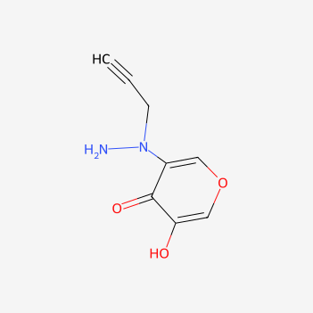 C#CCN(N)c1cocc(O)c1=O